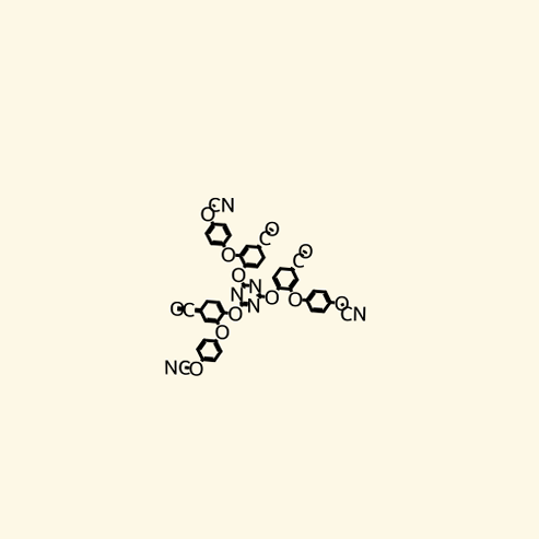 N#COc1ccc(OC2=CC(=C=O)CC=C2Oc2nc(OC3=CCC(=C=O)C=C3Oc3ccc(OC#N)cc3)nc(OC3=CCC(=C=O)C=C3Oc3ccc(OC#N)cc3)n2)cc1